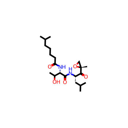 CC(C)CCCCC(=O)N[C@H](C(=O)N[C@@H](CC(C)C)C(=O)[C@@]1(C)CO1)C(C)O